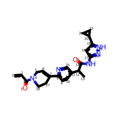 C=CC(=O)N1CC=C(c2ccc(C(C)C(=O)Nc3cc(C4CC4)[nH]n3)cn2)CC1